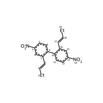 CCC=Cc1cc([N+](=O)[O-])ccc1-c1ccc([N+](=O)[O-])cc1C=CCC